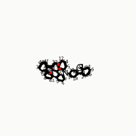 c1ccc(-c2cccc(N(c3ccccc3)c3ccc4c(c3)oc3ccccc34)c2-c2cccc3c2oc2ccccc23)cc1